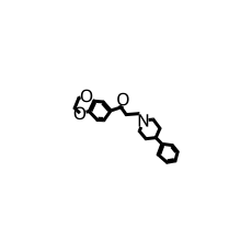 O=C(CCN1CCC(c2ccccc2)CC1)c1ccc2c(c1)OCCO2